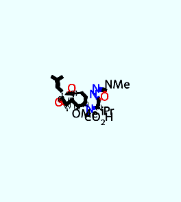 CNc1nnc([C@H](C(C)C)N(C(=O)O)[C@@H]2CC[C@]3(CO3)[C@@H]([C@@]3(C)O[C@@H]3CC=C(C)C)[C@@H]2OC)o1